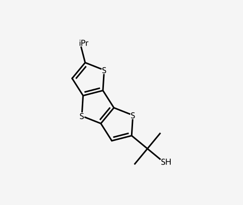 CC(C)c1cc2sc3cc(C(C)(C)S)sc3c2s1